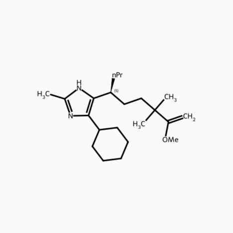 C=C(OC)C(C)(C)CC[C@H](CCC)c1[nH]c(C)nc1C1CCCCC1